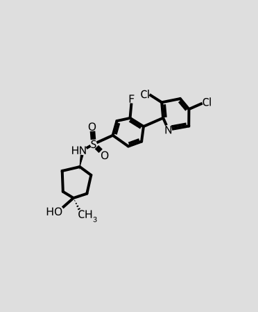 C[C@]1(O)CC[C@@H](NS(=O)(=O)c2ccc(-c3ncc(Cl)cc3Cl)c(F)c2)CC1